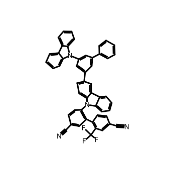 N#Cc1ccc(-n2c3ccccc3c3cc(-c4cc(-c5ccccc5)cc(-n5c6ccccc6c6ccccc65)c4)ccc32)c(-c2ccc(C#N)cc2C(F)(F)F)c1